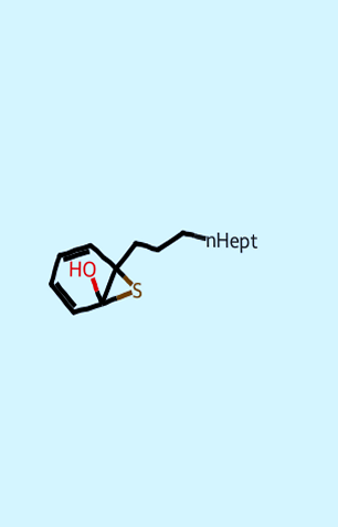 CCCCCCCCCCC12C=CC=CC1(O)S2